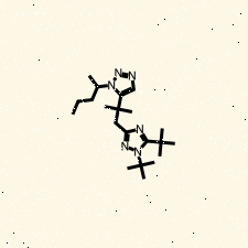 CCCC(C)n1nncc1C(C)(C)Cc1nc(C(C)(C)C)n(C(C)(C)C)n1